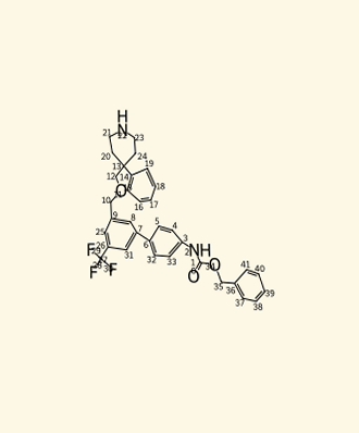 O=C(Nc1ccc(-c2cc(COCC3(c4ccccc4)CCNCC3)cc(C(F)(F)F)c2)cc1)OCc1ccccc1